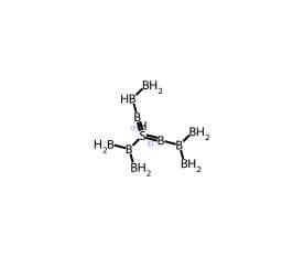 BB/B=[SH](=B\B(B)B)\B(B)B